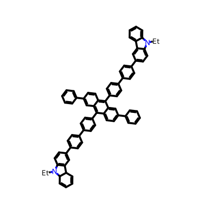 CCN1c2ccc(-c3ccc(-c4ccc(-c5c6ccc(-c7ccccc7)cc6c(-c6ccc(-c7ccc(-c8ccc9c(c8)c8ccccc8n9CC)cc7)cc6)c6ccc(-c7ccccc7)cc56)cc4)cc3)cc2C2C=CC=CC21